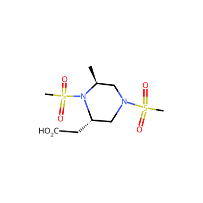 C[C@H]1CN(S(C)(=O)=O)C[C@H](CC(=O)O)N1S(C)(=O)=O